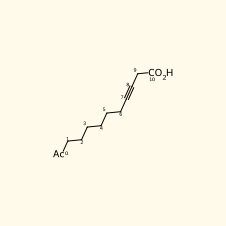 CC(=O)CCCCCCC#CCC(=O)O